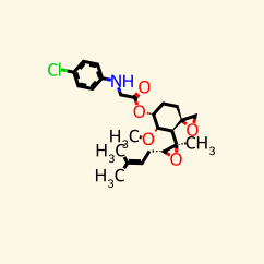 CO[C@@H]1[C@H](OC(=O)CNc2ccc(Cl)cc2)CC[C@]2(CO2)[C@H]1[C@@]1(C)O[C@@H]1CC=C(C)C